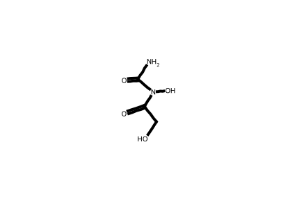 NC(=O)N(O)C(=O)CO